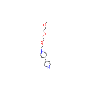 COCCOCCOCC[n+]1ccc(-c2ccncc2)cc1